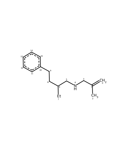 C=C(C)CNCC(CC)CCc1ccccc1